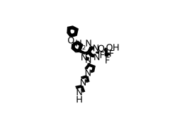 Nc1ncnc2c1c(-c1ccc(Oc3ccccc3)cc1)nn2C1CCN(C2CN(C3CNC3)C2)C1.O=C(O)C(F)(F)F